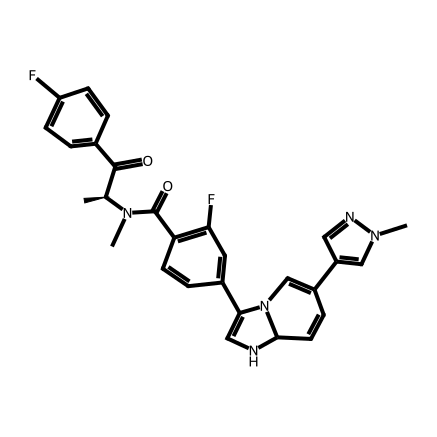 C[C@@H](C(=O)c1ccc(F)cc1)N(C)C(=O)c1ccc(C2=CNC3C=CC(c4cnn(C)c4)=CN23)cc1F